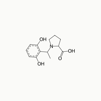 CC(c1c(O)cccc1O)N1CCCC1C(=O)O